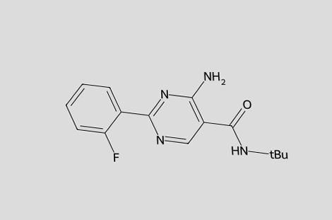 CC(C)(C)NC(=O)c1cnc(-c2ccccc2F)nc1N